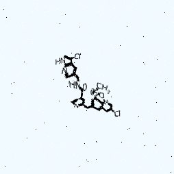 CS(=O)(=O)c1cc(Cc2cc(C(=O)NCc3cnc4[nH]cc(Cl)c4c3)ccn2)cc2cc(Cl)cnc12